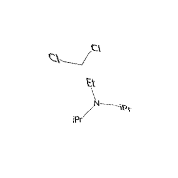 CCN(C(C)C)C(C)C.ClCCl